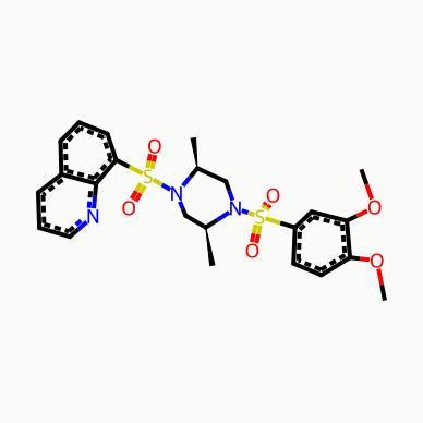 COc1ccc(S(=O)(=O)N2C[C@H](C)N(S(=O)(=O)c3cccc4cccnc34)C[C@@H]2C)cc1OC